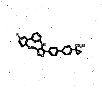 CCOC(=O)C1(c2ccc(-c3ccc(-c4onc(C)c4Nc4cccc(-c5cc(F)ccc5OC)n4)cc3)cc2)CC1